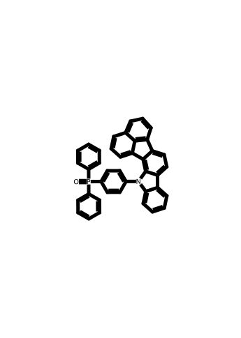 O=P(c1ccccc1)(c1ccccc1)c1ccc(-n2c3ccccc3c3ccc4c(c32)-c2cccc3cccc-4c23)cc1